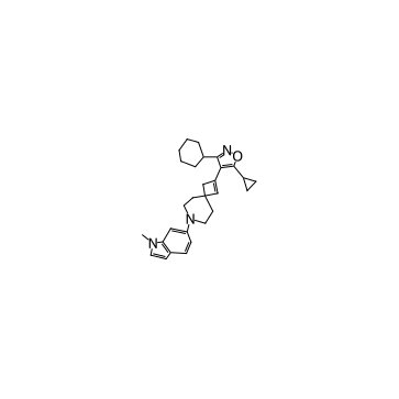 Cn1ccc2ccc(N3CCC4(C=C(c5c(C6CCCCC6)noc5C5CC5)C4)CC3)cc21